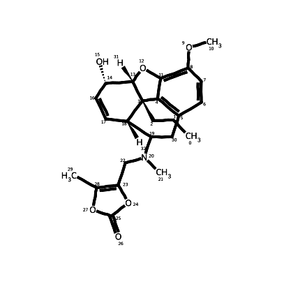 CCC[C@]12c3c4ccc(OC)c3O[C@H]1[C@@H](O)C=C[C@H]2C(N(C)Cc1oc(=O)oc1C)C4